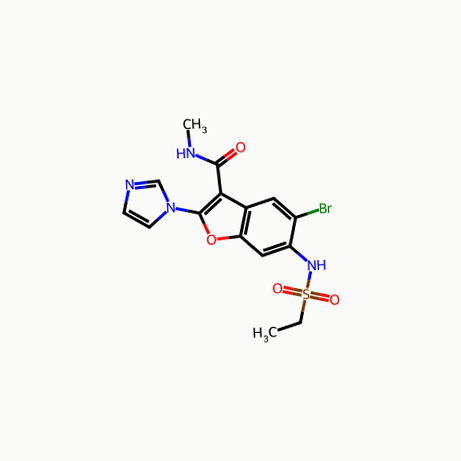 CCS(=O)(=O)Nc1cc2oc(-n3ccnc3)c(C(=O)NC)c2cc1Br